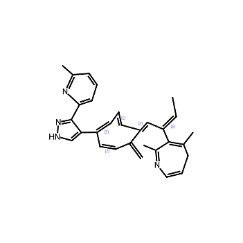 C=C1\C=C/C(c2c[nH]nc2-c2cccc(C)n2)=C/C=C/C1=C/C(=C\C)C1=C(C)CC=CN=C1C